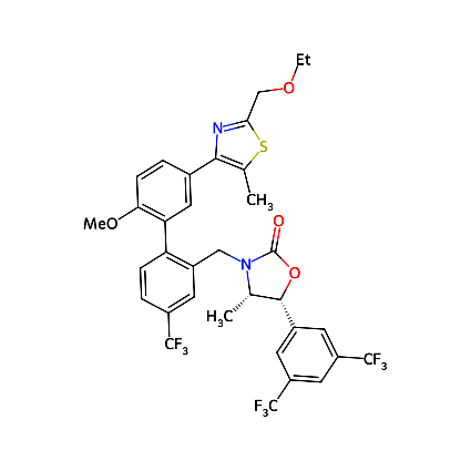 CCOCc1nc(-c2ccc(OC)c(-c3ccc(C(F)(F)F)cc3CN3C(=O)O[C@H](c4cc(C(F)(F)F)cc(C(F)(F)F)c4)[C@@H]3C)c2)c(C)s1